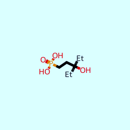 CCC(O)(CC)CCP(=O)(O)O